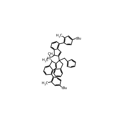 Cc1cc(C(C)(C)C)ccc1-c1cccc2c1C=C1[CH]2[Hf]([CH3])([CH3])[CH]2C(=Cc3c(-c4ccc(C(C)(C)C)cc4C)cccc32)C1(Cc1ccccc1)Cc1ccccc1